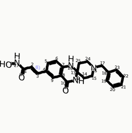 O=C(/C=C/c1ccc2c(c1)C(=O)NC1(CCN(Cc3ccccc3)CC1)N2)NO